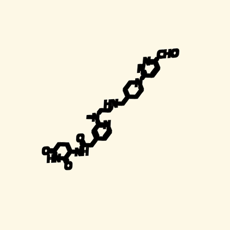 CN(CCNCC1CCN(c2ccc(C=O)nn2)CC1)c1cc(CC(=O)NC2CCC(=O)NC2=O)ccn1